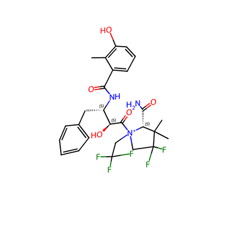 Cc1c(O)cccc1C(=O)N[C@@H](Cc1ccccc1)[C@H](O)C(=O)[N+]1(CC(F)(F)F)CC(F)(F)C(C)(C)[C@H]1C(N)=O